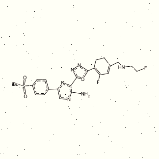 CCC(C)S(=O)(=O)c1ccc(-c2cnc(N)c(-c3nnc(C4=C(F)C=C(CNCCF)CC4)o3)n2)cc1